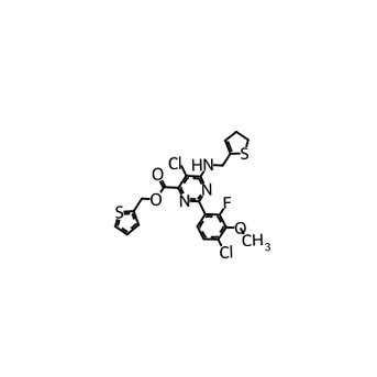 COc1c(Cl)ccc(-c2nc(NCC3=CCCS3)c(Cl)c(C(=O)OCc3cccs3)n2)c1F